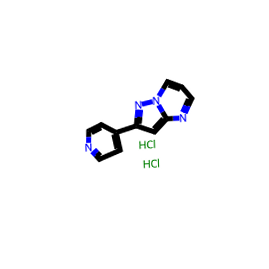 Cl.Cl.c1cnc2cc(-c3ccncc3)nn2c1